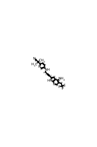 CC(C)(C#N)c1ccc(NCC#Cc2cc3c(N)c(CC(F)(F)F)cnc3[nH]2)cn1